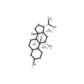 CC(O)[C@H]1CC[C@H]2[C@@H]3CCC4CC(O)CC[C@]4(C)[C@H]3[C@@H](O)C[C@]12C